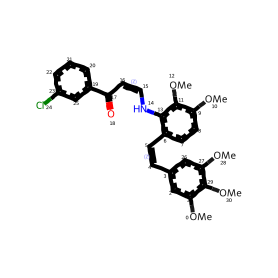 COc1cc(/C=C\c2ccc(OC)c(OC)c2N/C=C\C(=O)c2cccc(Cl)c2)cc(OC)c1OC